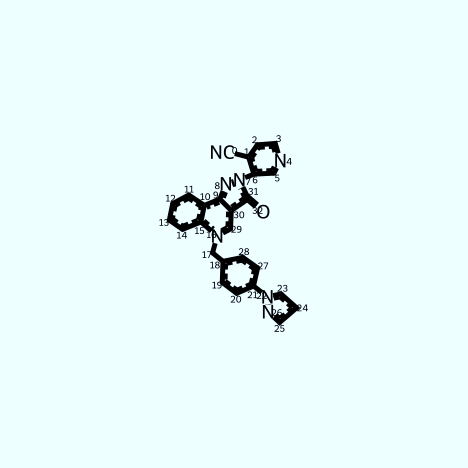 N#Cc1ccncc1-n1nc2c3ccccc3n(Cc3ccc(-n4cccn4)cc3)cc-2c1=O